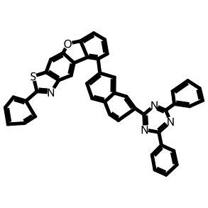 c1ccc(-c2nc(-c3ccccc3)nc(-c3ccc4ccc(-c5cccc6oc7cc8sc(-c9ccccc9)nc8cc7c56)cc4c3)n2)cc1